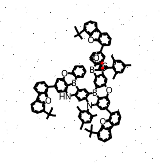 Cc1cc(C)c(N2c3cc4c(cc3B3c5cc6c(cc5Oc5cc(-c7cccc8c7oc7c(C(C)(C)C)cccc78)cc2c53)N(c2c(C)cc(C)cc2C)c2cc(-c3cccc5c3oc3c(C(C)(C)C)cccc35)cc3c2B6c2ccccc2O3)B2c3ccccc3Oc3cc(-c5cccc6c5oc5c(C(C)(C)C)cccc56)cc(c32)N4)c(C)c1